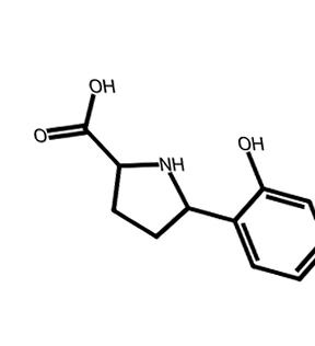 O=C(O)C1CCC(c2ccccc2O)N1